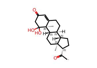 [CH2]C(=O)[C@H]1CC[C@H]2[C@@H]3CCC4=CC(=O)CC(O)(O)[C@]4(C)[C@H]3CC[C@]12C